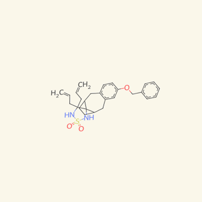 C=CCC1(CC=C)NS(=O)(=O)NC12C1CCC2Cc2cc(OCc3ccccc3)ccc2C1